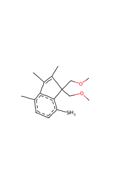 COCC1(COC)C(C)=C(C)c2c(C)ccc([SiH3])c21